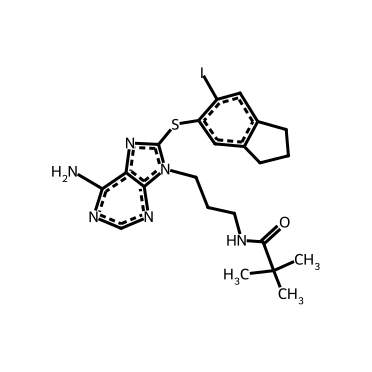 CC(C)(C)C(=O)NCCCn1c(Sc2cc3c(cc2I)CCC3)nc2c(N)ncnc21